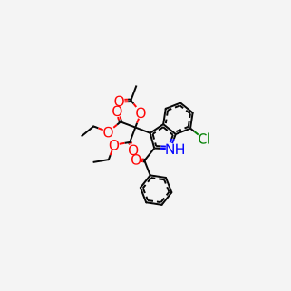 CCOC(=O)C(OC(C)=O)(C(=O)OCC)c1c(C(=O)c2ccccc2)[nH]c2c(Cl)cccc12